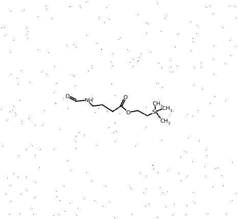 C[Si](C)(C)CCOC(=O)CCCNC=O